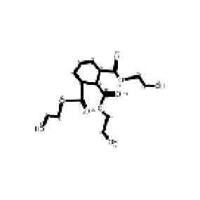 O=C(OCCO)C1CCCC(C(=O)OCCO)C1C(=O)OCCO